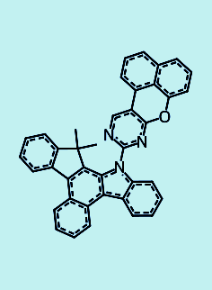 CC1(C)c2ccccc2-c2c1c1c(c3ccccc23)c2ccccc2n1-c1ncc2c(n1)Oc1cccc3cccc-2c13